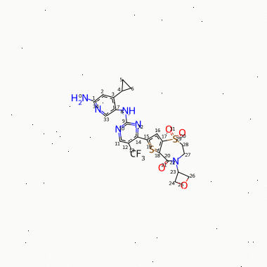 Nc1cc(C2CC2)c(Nc2ncc(C(F)(F)F)c(-c3cc4c(s3)C(=O)N(C3COC3)CCS4(=O)=O)n2)cn1